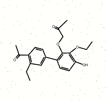 CCOc1c(O)ccc(-c2ccc(C(C)=O)c(CC)c2)c1OCC(C)=O